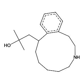 CC(C)(O)CC1CCCCCNCCc2ccccc21